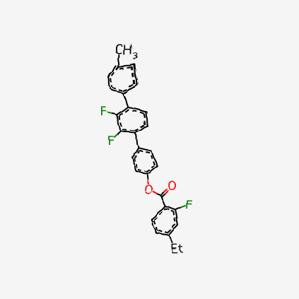 CCc1ccc(C(=O)Oc2ccc(-c3ccc(-c4ccc(C)cc4)c(F)c3F)cc2)c(F)c1